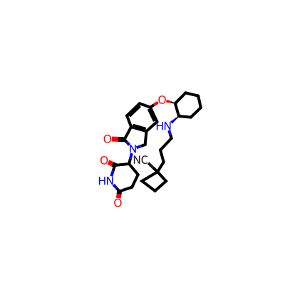 N#CC1(CCCN[C@@H]2CCCC[C@@H]2Oc2ccc3c(c2)CN(C2CCC(=O)NC2=O)C3=O)CCC1